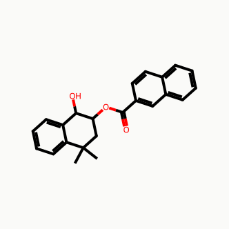 CC1(C)CC(OC(=O)c2ccc3ccccc3c2)C(O)c2ccccc21